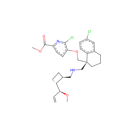 C=C[C@H](OC)[C@@H]1CC[C@H]1CNC[C@]1(COc2ccc(C(=O)OC)nc2Cl)CCCc2cc(Cl)ccc21